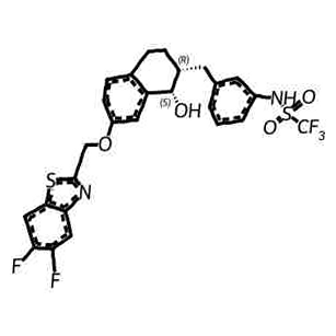 O=S(=O)(Nc1cccc(C[C@H]2CCc3ccc(OCc4nc5cc(F)c(F)cc5s4)cc3[C@H]2O)c1)C(F)(F)F